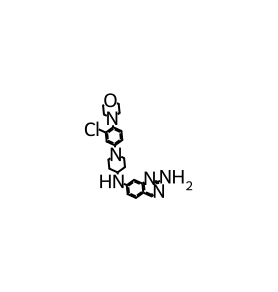 Nc1ncc2ccc(NC3CCN(c4ccc(N5CCOCC5)c(Cl)c4)CC3)cc2n1